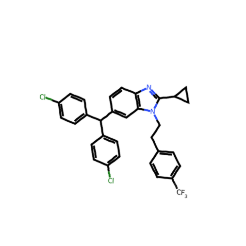 FC(F)(F)c1ccc(CCn2c(C3CC3)nc3ccc(C(c4ccc(Cl)cc4)c4ccc(Cl)cc4)cc32)cc1